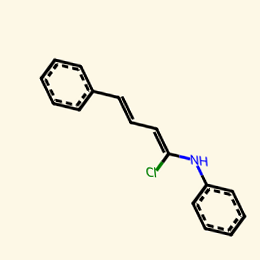 ClC(=CC=Cc1ccccc1)Nc1ccccc1